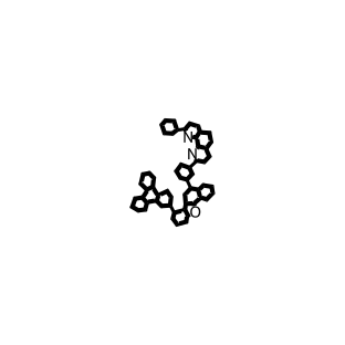 c1ccc(-c2ccc3ccc4ccc(-c5cccc(-c6cc7c(oc8cccc(-c9ccc%10c%11ccccc%11c%11ccccc%11c%10c9)c87)c7ccccc67)c5)nc4c3n2)cc1